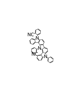 N#Cc1ccccc1-n1c2ccccc2c2c1ccc1c3ccc4c(c5c(C#N)cccc5n4-c4ccccc4)c3n(-c3ccccc3)c12